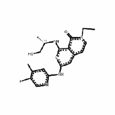 CCn1ccc2cc(Nc3cc(C)c(F)cn3)nc(N[C@@H](C)CO)c2c1=O